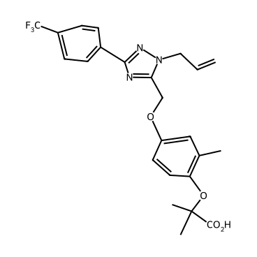 C=CCn1nc(-c2ccc(C(F)(F)F)cc2)nc1COc1ccc(OC(C)(C)C(=O)O)c(C)c1